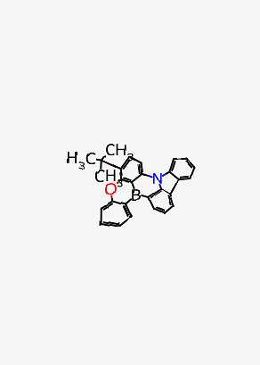 CC(C)(C)c1ccc2c3c1Oc1ccccc1B3c1cccc3c4ccccc4n-2c13